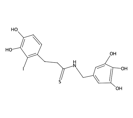 Oc1cc(CNC(=S)CCc2ccc(O)c(O)c2I)cc(O)c1O